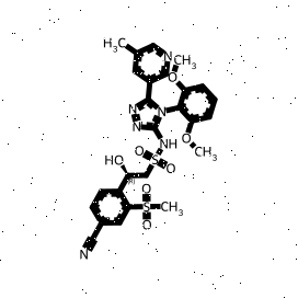 COc1cccc(OC)c1-n1c(NS(=O)(=O)C[C@H](O)c2ccc(C#N)cc2S(C)(=O)=O)nnc1-c1cncc(C)c1